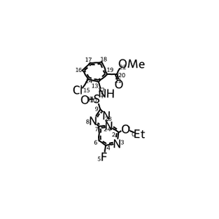 CCOc1nc(F)cc2nc([S+]([O-])Nc3c(Cl)cccc3C(=O)OC)nn12